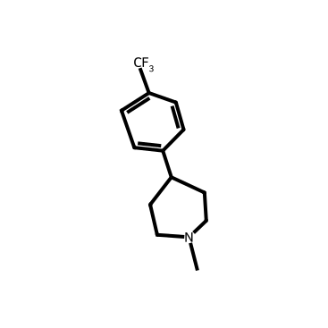 CN1CCC(c2ccc(C(F)(F)F)cc2)CC1